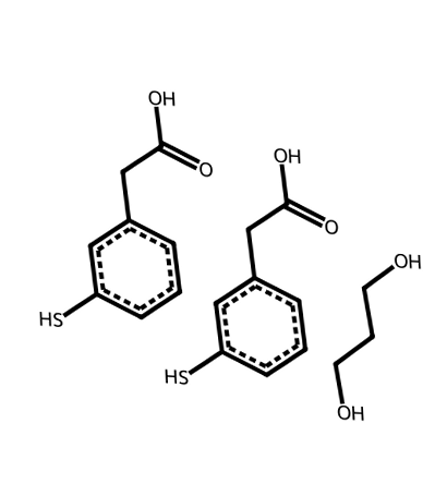 O=C(O)Cc1cccc(S)c1.O=C(O)Cc1cccc(S)c1.OCCCO